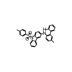 Cc1ccc(S(=O)(=O)n2c3ccccc3c3cc(Nc4ccc(C)cc4-c4ccccc4C)ccc32)cc1